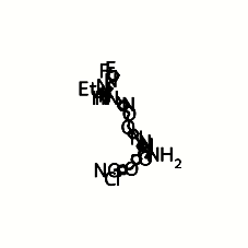 CCc1cnn2c(NCc3ccc(OCCOC4CCN(c5cc(C6CCC(Oc7ccc(C#N)c(Cl)c7)CC6)c(C(N)=O)nn5)CC4)nc3)cc(N3CCCC(F)(F)C3)nc12